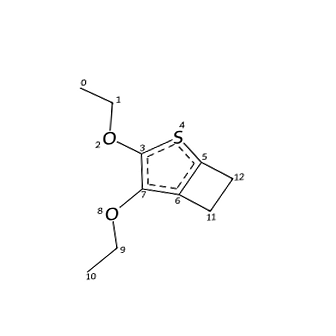 CCOc1sc2c(c1OCC)CC2